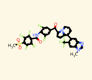 Cn1cnc2cc(-c3cccn4c(C(=O)c5cc(F)c(NC(=O)c6c(F)c(F)c(S(C)(=O)=O)c(F)c6F)c(F)c5)ccc34)c(C(F)(F)F)cc21